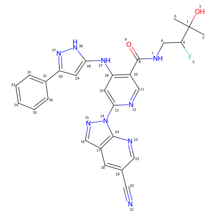 CC(C)(O)C(F)CNC(=O)c1cnc(-n2ncc3cc(C#N)cnc32)cc1Nc1cc(-c2ccccc2)n[nH]1